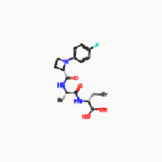 CC(C)C[C@@H](NC(=O)[C@@H](NC(=O)[C@@H]1CCN1c1ccc(F)cc1)C(C)C)B(O)O